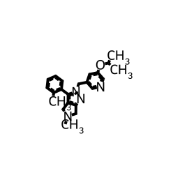 Cc1ccccc1-c1c2c(nn1Cc1cncc(OC(C)C)c1)CN(C)C2